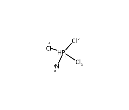 [N][PH](Cl)(Cl)Cl